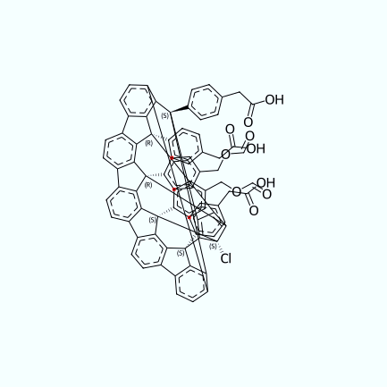 O=COCc1ccc([C@@]23C4=C5C6=C7[C@@]8(c9ccc(CC(=O)O)cc9)c9c%10ccc%11c9[C@]6(c6ccc(CC(=O)O)cc6)c6c-%11ccc9c6[C@]5(c5ccc(CC(=O)O)cc5)c5c-9ccc(c52)-c2ccc5c(c23)[C@](c2ccc(COC=O)cc2)(c2c-5ccc-%10c28)[C@@]47Cl)cc1